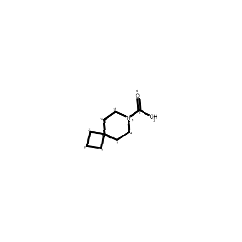 O=C(O)N1CCC2(CCC2)CC1